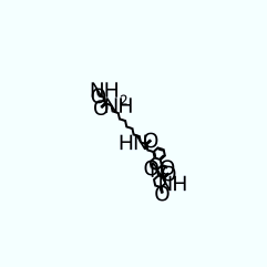 NOCC(=O)NCCCCCCCCNC(=O)Cc1cccc2c1CON(C1CCC(=O)NC1=O)C2=O